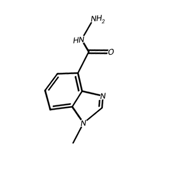 Cn1cnc2c(C(=O)NN)cccc21